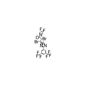 O=C(C(Br)C(Br)n1cnc(-c2cc(C(F)(F)F)cc(C(F)(F)F)c2)n1)N1CC(F)(F)C1